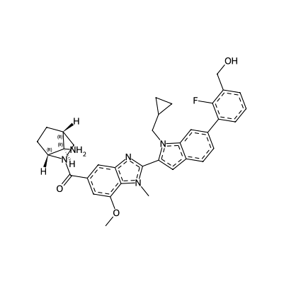 COc1cc(C(=O)N2C[C@H]3CC[C@@H]2[C@@H]3N)cc2nc(-c3cc4ccc(-c5cccc(CO)c5F)cc4n3CC3CC3)n(C)c12